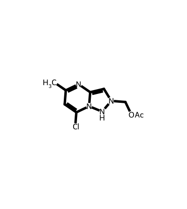 CC(=O)OCN1C=C2N=C(C)C=C(Cl)N2N1